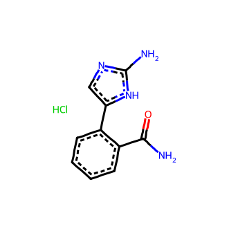 Cl.NC(=O)c1ccccc1-c1cnc(N)[nH]1